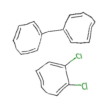 Clc1ccccc1Cl.c1ccc(-c2ccccc2)cc1